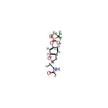 CC(=O)NC(C)[C@H]1Cc2ccc(OS(=O)(=O)C(F)(F)F)cc2O1